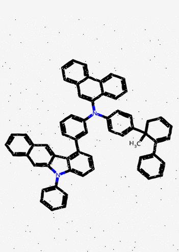 CC1(c2ccc(N(c3cccc(-c4cccc5c4c4cc6ccccc6cc4n5-c4ccccc4)c3)c3cc4ccccc4c4ccccc34)cc2)CC=CC=C1c1ccccc1